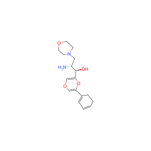 N[C@H](CN1CCOCC1)[C@@H](O)C1=COC=C(C2=CC=CCC2)O1